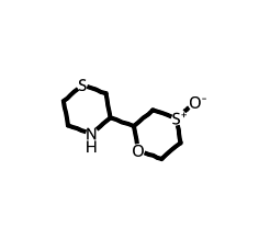 [O-][S+]1CCOC(C2CSCCN2)C1